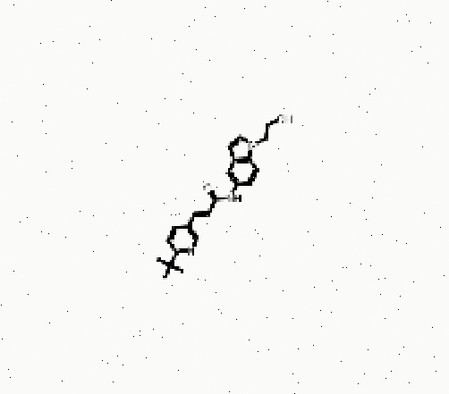 CC(C)(C)c1ccc(C=CC(=O)Nc2ccc3c(ccn3CCO)c2)cn1